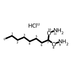 CCCCCCCC(ON)ON.Cl